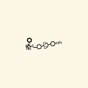 CCCC1CCC(C2COC(C3CCC(CSc4nnnn4-c4ccccc4)CC3)OC2)CC1